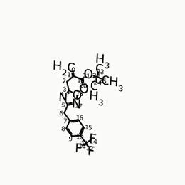 C=C(Cc1nc(Cc2ccc(C(F)(F)F)cc2)no1)C(=O)OC(C)(C)C